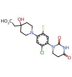 O=C(O)CC1(O)CCN(c2cc(Cl)c(N3CCC(=O)NC3=O)cc2F)CC1